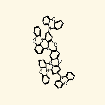 c1ccc2c(c1)Oc1ccccc1N2c1cc2c3c(c1)N1c4ccccc4Oc4cccc(c41)B3c1cc3c(cc1O2)Oc1cc(N2c4ccccc4Oc4ccccc42)cc2c1B3c1cccc3c1N2c1ccccc1O3